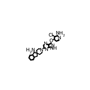 Nc1nccc(Oc2n[nH]c3nc(N4CCC5(CC4)Cc4ccccc4[C@H]5N)cnc23)c1Cl